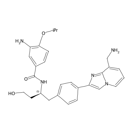 CC(C)Oc1ccc(C(=O)N[C@H](CCO)Cc2ccc(-c3cn4cccc(CN)c4n3)cc2)cc1N